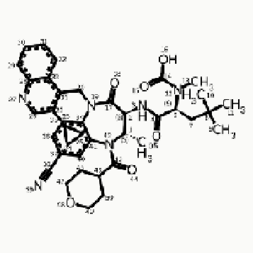 C[C@H]1[C@H](NC(=O)[C@H](CC(C)(C)C)N(C)C(=O)O)C(=O)N(Cc2c(C3CC3)cnc3ccccc23)c2ccc(C#N)cc2N1C(=O)C1CCOCC1